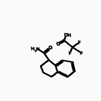 NC(=O)C1CCCc2ccccc21.O=C(O)C(F)(F)F